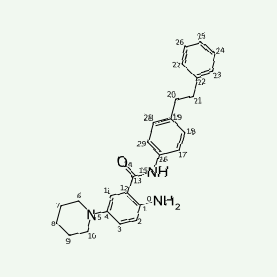 Nc1ccc(N2CCCCC2)cc1C(=O)Nc1ccc(CCc2ccccc2)cc1